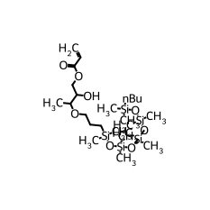 C=CC(=O)OCC(O)C(C)OCCC[Si](C)(C)O[Si](C)(C)O[Si](C)(C)O[Si](C)(C)O[Si](C)(C)CCCC